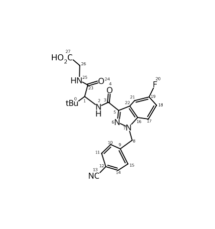 CC(C)(C)C(NC(=O)c1nn(Cc2ccc(C#N)cc2)c2ccc(F)cc12)C(=O)NCC(=O)O